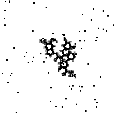 CNC(=O)c1cc(-c2cccnc2[C@H](Cc2cc(F)cc(F)c2)NC(=O)Cn2ccc3cc(C)c(C)cc32)ccc1F